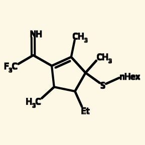 CCCCCCSC1(C)C(C)=C(C(=N)C(F)(F)F)C(C)C1CC